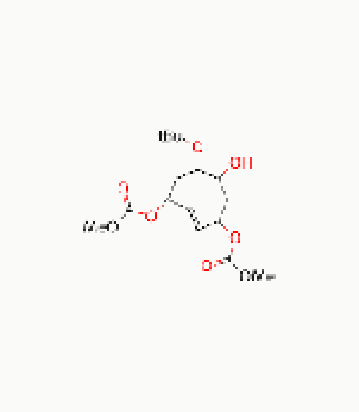 COC(=O)OC1/C=C/C(OC(=O)OC)CC(OC(C)(C)C)C(O)C1